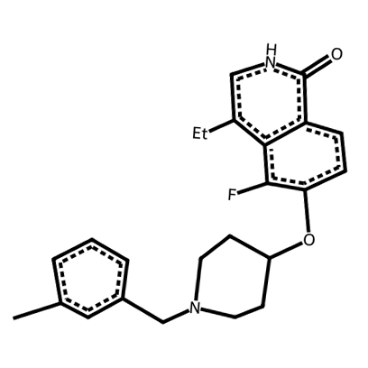 CCc1c[nH]c(=O)c2ccc(OC3CCN(Cc4cccc(C)c4)CC3)c(F)c12